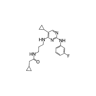 O=C(CC1CC1)NCCCNc1nc(Nc2cccc(F)c2)ncc1C1CC1